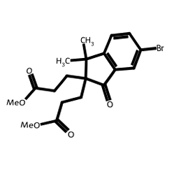 COC(=O)CCC1(CCC(=O)OC)C(=O)c2cc(Br)ccc2C1(C)C